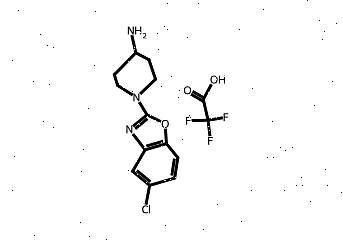 NC1CCN(c2nc3cc(Cl)ccc3o2)CC1.O=C(O)C(F)(F)F